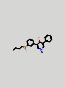 CCCC[S+]([O-])c1cccc(-c2cn(C)cc(-c3ccccc3)c2=O)c1